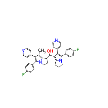 Cc1c(-c2ccncc2)c(-c2ccc(F)cc2)n2c1C(C(O)c1c(-c3ccncc3)c(-c3ccc(F)cc3)n3c1CCC3)CC2